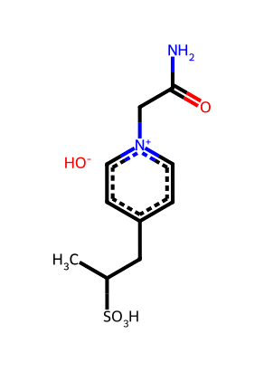 CC(Cc1cc[n+](CC(N)=O)cc1)S(=O)(=O)O.[OH-]